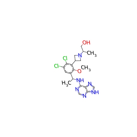 COc1c(C(C)Nc2ncnc3[nH]cnc23)cc(Cl)c(Cl)c1C1CN(C(C)CO)C1